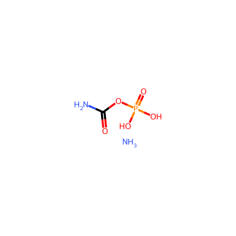 N.NC(=O)OP(=O)(O)O